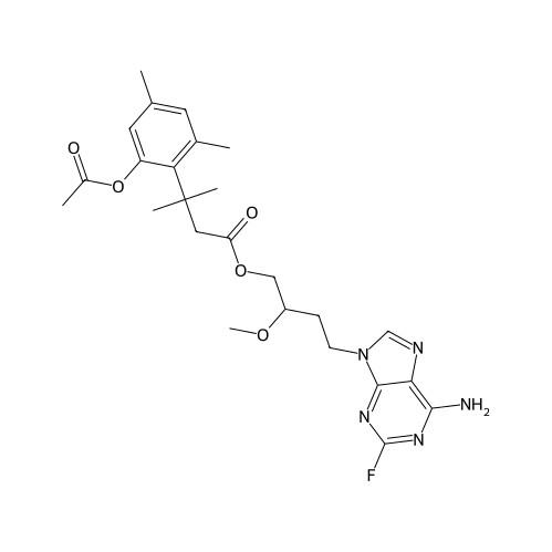 COC(CCn1cnc2c(N)nc(F)nc21)COC(=O)CC(C)(C)c1c(C)cc(C)cc1OC(C)=O